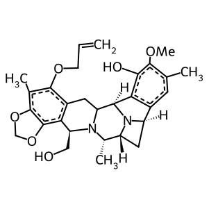 C=CCOc1c(C)c2c(c3c1CC1[C@H]4c5c(cc(C)c(OC)c5O)[C@H]5C[C@H]([C@H](C)N1[C@H]3CO)N54)OCO2